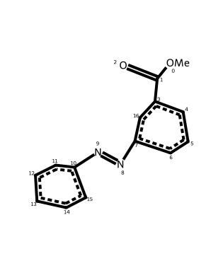 COC(=O)c1cccc(N=Nc2ccccc2)c1